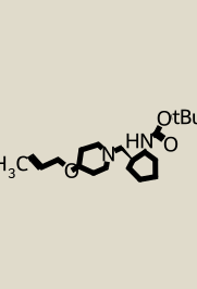 C/C=C/COC1CCN(C[C@@H]2CCCC[C@H]2NC(=O)OC(C)(C)C)CC1